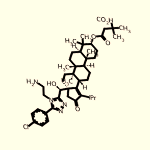 CC(C)C1=C2[C@H]3CC[C@@H]4[C@@]5(C)CC[C@H](OC(=O)CC(C)(C)C(=O)O)C(C)(C)[C@@H]5CC[C@@]4(C)[C@]3(C)CC[C@@]2([C@H](O)c2nnc(-c3ccc(Cl)cc3)n2CCN)CC1=O